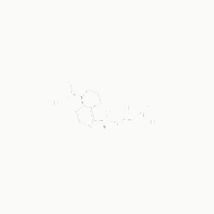 CN(C)c1cccc2c(S(=O)(=O)NCC[N+](C)(C)C)cccc12